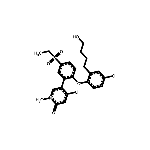 CCS(=O)(=O)c1ccc(Oc2ccc(Cl)cc2CCCCO)c(-c2cn(C)c(=O)cc2Cl)c1